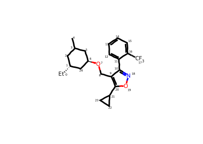 CC[C@@H]1CC(C)C[C@@H](OCc2c(-c3ccccc3C(F)(F)F)noc2C2CC2)C1